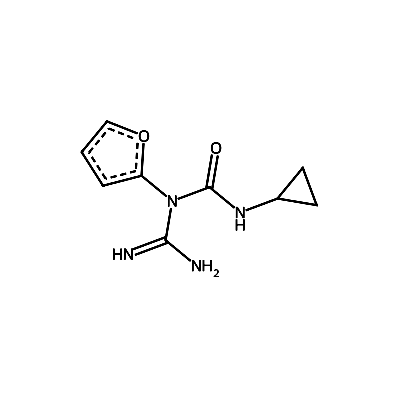 N=C(N)N(C(=O)NC1CC1)c1ccco1